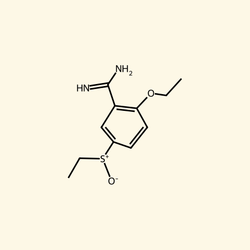 CCOc1ccc([S+]([O-])CC)cc1C(=N)N